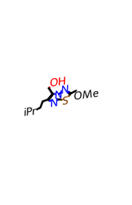 COCc1nn2c(CO)c(CCC(C)C)nc2s1